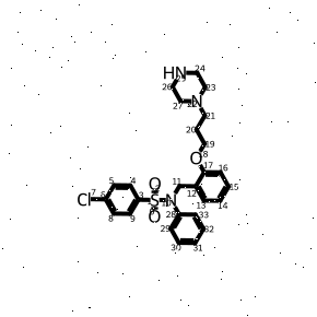 O=S(=O)(c1ccc(Cl)cc1)N(Cc1ccccc1OCCCN1CCNCC1)c1ccccc1